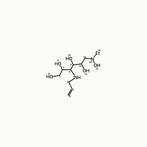 C=CCNC(C(O)CO)C(O)C(O)CN(O)CC